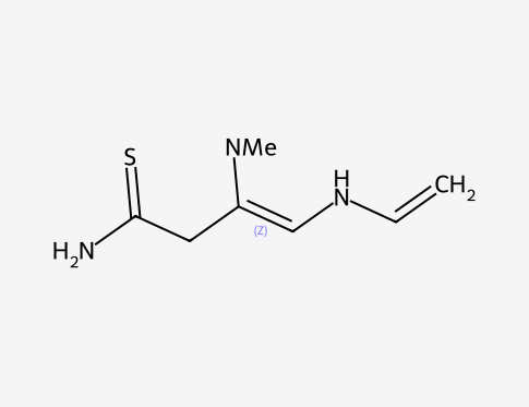 C=CN/C=C(/CC(N)=S)NC